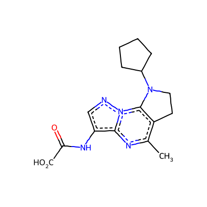 Cc1nc2c(NC(=O)C(=O)O)cnn2c2c1CCN2C1CCCC1